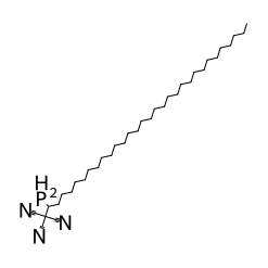 CCCCCCCCCCCCCCCCCCCCCCCCCCCCCCC(P)C(C#N)(C#N)C#N